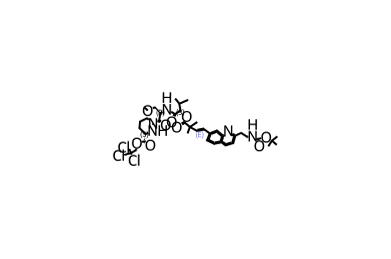 COC[C@@H](NC(=O)[C@@H](OC(=O)C(C)(C)/C=C/c1ccc2ccc(CCNC(=O)OC(C)(C)C)nc2c1)C(C)C)C(=O)N1CCC[C@@H](C(=O)OCC(Cl)(Cl)Cl)N1